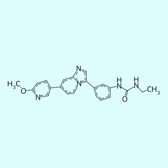 CCNC(=O)Nc1cccc(-c2cnc3cc(-c4ccc(OC)nc4)ccn23)c1